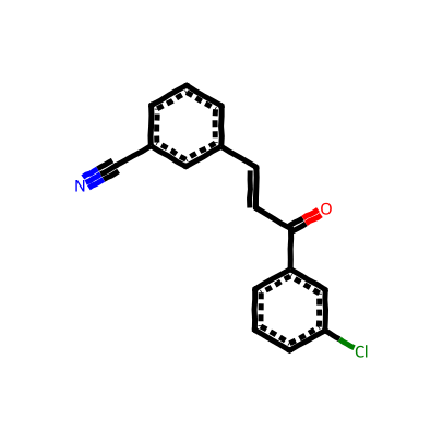 N#Cc1cccc(/C=C/C(=O)c2cccc(Cl)c2)c1